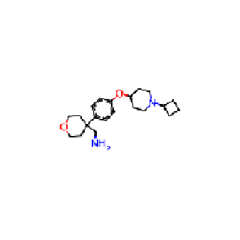 NCC1(c2ccc(OC3CCN(C4CCC4)CC3)cc2)CCOCC1